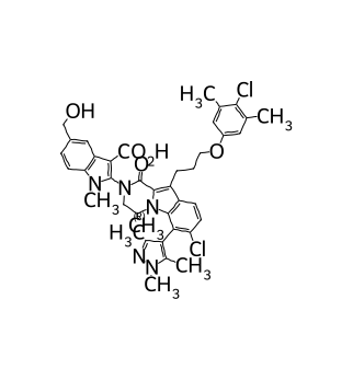 Cc1cc(OCCCc2c3n(c4c(-c5c(C)nn(C)c5C)c(Cl)ccc24)[C@H](C)CN(c2c(C(=O)O)c4cc(CO)ccc4n2C)C3=O)cc(C)c1Cl